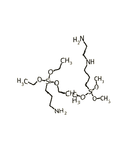 CCO[Si](CCCN)(OCC)OCC.CO[Si](CCCNCCN)(OC)OC